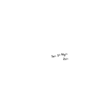 [Mg+2].[S-2].[Se-2].[Zn+2]